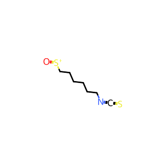 O=[S+]CCCCCCN=C=S